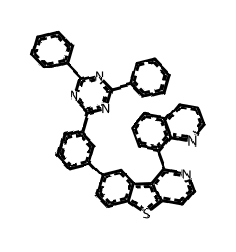 c1ccc(-c2nc(-c3ccccc3)nc(-c3cccc(-c4ccc5sc6ccnc(-c7cccc8cccnc78)c6c5c4)c3)n2)cc1